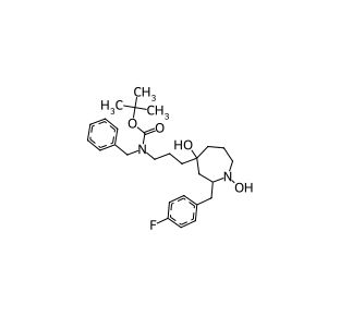 CC(C)(C)OC(=O)N(CCCC1(O)CCCN(O)C(Cc2ccc(F)cc2)C1)Cc1ccccc1